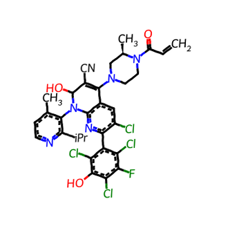 C=CC(=O)N1CCN(C2=C(C#N)C(O)N(c3c(C)ccnc3C(C)C)c3nc(-c4c(Cl)c(O)c(Cl)c(F)c4Cl)c(Cl)cc32)C[C@H]1C